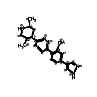 C[C@H]1CN(c2ncc(-c3ccc(-c4cn[nH]c4)cc3O)nn2)[C@@H](C)CN1